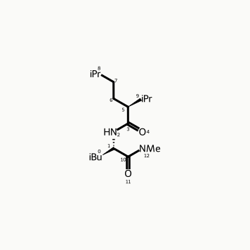 CC[C@H](C)[C@H](NC(=O)[C@@H](CCC(C)C)C(C)C)C(=O)NC